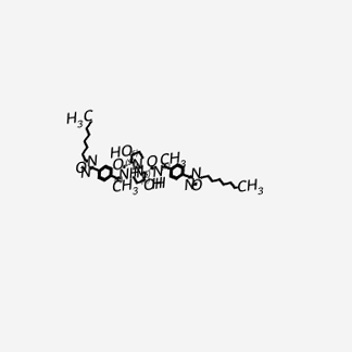 CCCCCCCc1nc(-c2ccc([C@H](C)NC(=O)[C@@H]3[C@@H](O)CCN3N3CC[C@H](O)[C@H]3C(=O)N[C@H](C)c3ccc(-c4noc(CCCCCCC)n4)cc3)cc2)no1